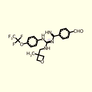 CC1(CN/C(=N/C(=N)c2ccc(C=O)cc2)Nc2ccc(OC(F)(F)C(F)(F)F)cc2)COC1